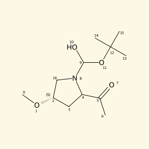 CO[C@H]1CC(C(C)=O)N(C(O)OC(C)(C)C)C1